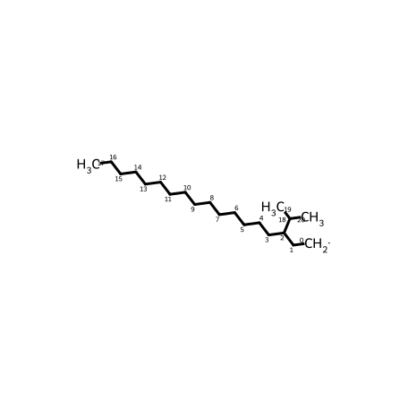 [CH2]CC(CCCCCCCCCCCCCCC)C(C)C